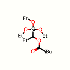 CCO[Si](OCC)(OCC)C(CC)OC(=O)C(C)CC